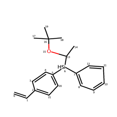 C=Cc1ccc([SiH](c2ccccc2)C(C)OC(C)(C)C)cc1